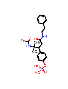 CCC(=O)NC(NC(C)=O)(C(=O)O)C(CC(=O)NCCc1ccccc1)c1ccc(OP(=O)(O)O)cc1